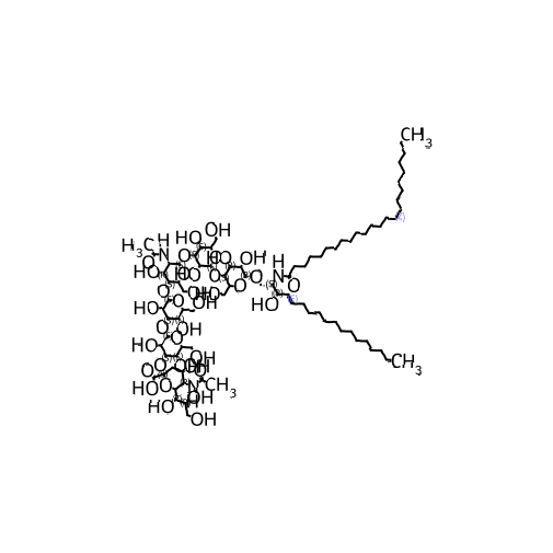 CCCCCCCC/C=C\CCCCCCCCCCCCCC(=O)N[C@@H](CO[C@@H]1OC(CO)[C@@H](O[C@@H]2OC(CO)[C@H](O)[C@H](O[C@@H]3OC(CO)[C@@H](O[C@@H]4OC(CO)[C@H](O)[C@H](O[C@@H]5OC(CO)[C@H](O)[C@H](O[C@]6(C(=O)O)CC(O)[C@@H](NC(C)=O)C([C@H](O)[C@H](O)CO)O6)C5O)C4O)[C@H](O)C3NC(C)=O)C2O)[C@H](O)C1O)[C@H](O)/C=C/CCCCCCCCCCCCC